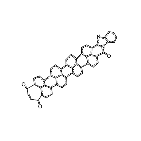 O=C1C=CC(=O)c2ccc3c4ccc5c6ccc7c8ccc9c%10c(ccc(c%11ccc(c%12ccc(c%13ccc1c2c%133)c4c%125)c6c%117)c8%10)c(=O)n1c2ccccc2nc91